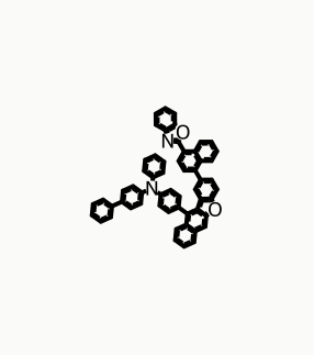 c1ccc(-c2ccc(N(c3ccccc3)c3ccc(-c4c5ccccc5cc5oc6ccc(-c7ccc(-c8nc9ccccc9o8)c8ccccc78)cc6c45)cc3)cc2)cc1